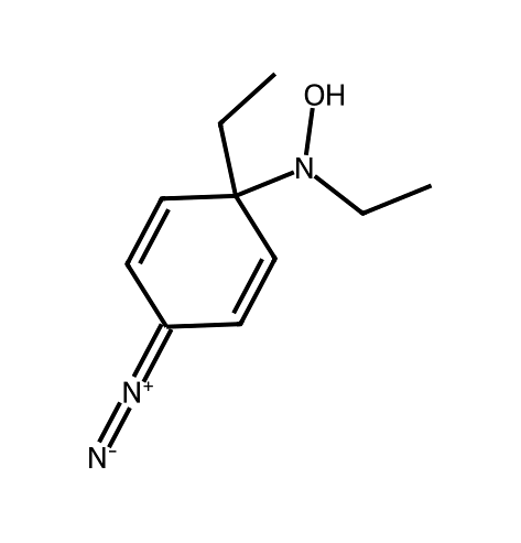 CCN(O)C1(CC)C=CC(=[N+]=[N-])C=C1